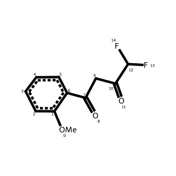 COc1ccccc1C(=O)CC(=O)C(F)F